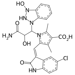 Cc1c(C(=O)O)c(C)n(C(C(O)C(N)=O)N2NN(O)c3ccccc32)c1C=C1C(=O)Nc2ccc(Cl)cc21